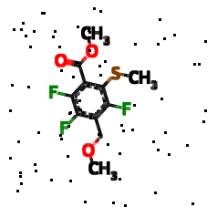 COCc1c(F)c(F)c(C(=O)OC)c(SC)c1F